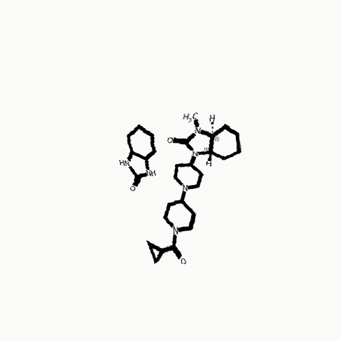 CN1C(=O)N(C2CCN(C3CCN(C(=O)C4CC4)CC3)CC2)[C@H]2CCCC[C@@H]21.O=C1NC2CCCCC2N1